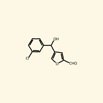 O=Cc1cc(C(O)c2cccc(Cl)c2)co1